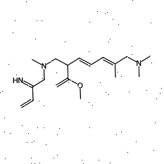 C=CC(=N)CN(C)CC(C=C/C=C(\C)CN(C)C)C(=C)OC